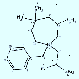 CCCCC(CC)C[N+]1(Cc2ccccc2)CCC(C)(C)CC(C)C1